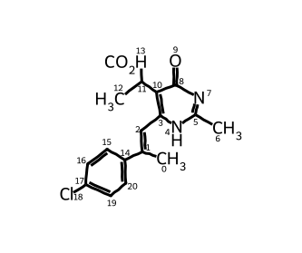 CC(=Cc1[nH]c(C)nc(=O)c1C(C)C(=O)O)c1ccc(Cl)cc1